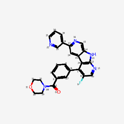 O=C(c1cccc(-c2c(F)cnc3[nH]c4cnc(-c5cccnc5)cc4c23)c1)N1CCOCC1